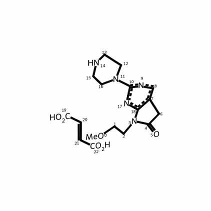 COCCN1C(=O)Cc2cnc(N3CCNCC3)nc21.O=C(O)C=CC(=O)O